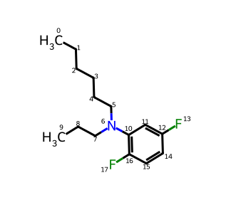 CCCCCCN(CCC)c1cc(F)ccc1F